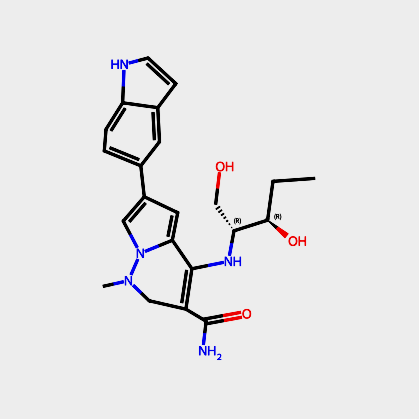 CC[C@@H](O)[C@@H](CO)NC1=C(C(N)=O)CN(C)n2cc(-c3ccc4[nH]ccc4c3)cc21